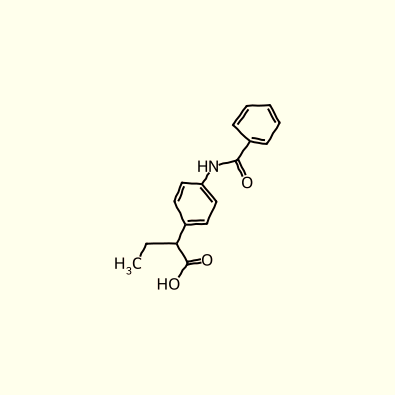 CCC(C(=O)O)c1ccc(NC(=O)c2ccccc2)cc1